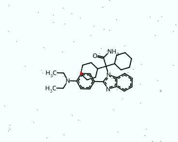 CCN(CC)c1ccc(-c2nc3ccccc3n2C(C(N)=O)(C2CCCCC2)C2CCCCC2)cc1